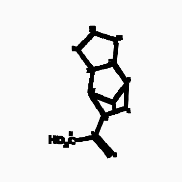 C=C(C(=O)O)C1CC2CC1C1CCCC21